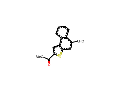 COC(=O)c1cc2c(cc(C=O)c3ccccc32)s1